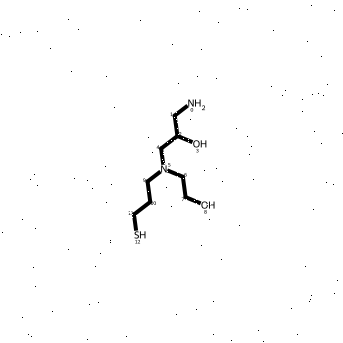 NCC(O)CN(CCO)CCCS